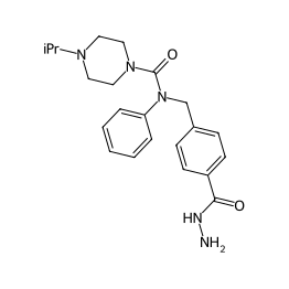 CC(C)N1CCN(C(=O)N(Cc2ccc(C(=O)NN)cc2)c2ccccc2)CC1